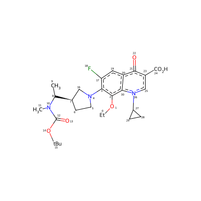 CCOc1c(N2CC[C@@H](C(C)N(C)C(=O)OC(C)(C)C)C2)c(F)cc2c(=O)c(C(=O)O)cn(C3CC3)c12